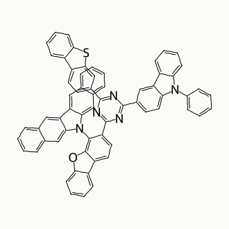 c1ccc(-n2c3ccccc3c3cc(-c4nc(-c5ccc6c(c5)sc5ccccc56)nc(-c5ccc6c(oc7ccccc76)c5-n5c6cc7ccccc7cc6c6cc7ccccc7cc65)n4)ccc32)cc1